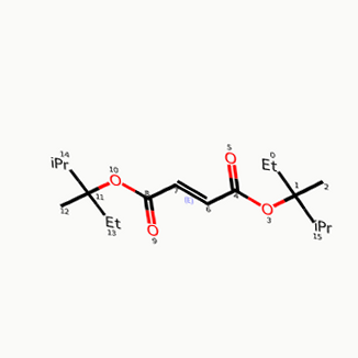 CCC(C)(OC(=O)/C=C/C(=O)OC(C)(CC)C(C)C)C(C)C